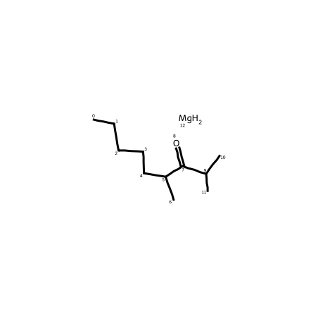 CCCCCC(C)C(=O)C(C)C.[MgH2]